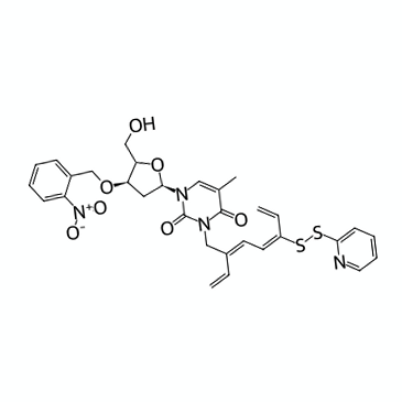 C=C/C(=C\C=C(/C=C)SSc1ccccn1)Cn1c(=O)c(C)cn([C@H]2C[C@@H](OCc3ccccc3[N+](=O)[O-])C(CO)O2)c1=O